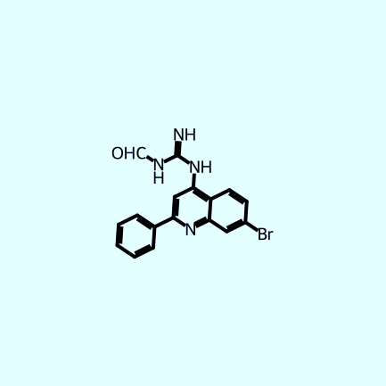 N=C(NC=O)Nc1cc(-c2ccccc2)nc2cc(Br)ccc12